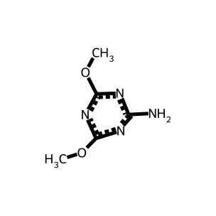 COc1nc(N)nc(OC)n1